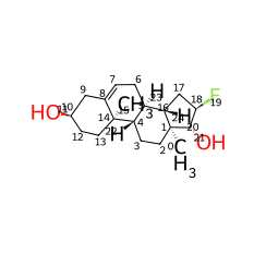 C[C@]12CC[C@H]3[C@@H](CC=C4C[C@H](O)CC[C@@]43C)[C@@H]1C[C@@H](F)[C@@H]2O